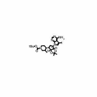 CC1CN(C(=O)OC(C)(C)C)CCC1[C@H]1C[C@@H](n2cc(I)c3c(N)ncnc32)[C@@H]2OC(C)(C)O[C@@H]21